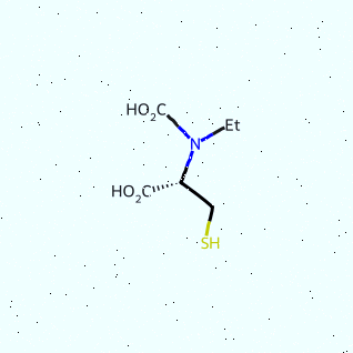 CCN(C(=O)O)[C@H](CS)C(=O)O